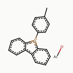 CC(=O)[O-].Cc1ccc(-[s+]2c3ccccc3c3ccccc32)cc1